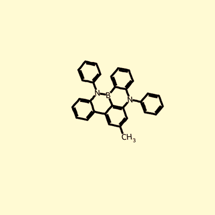 Cc1cc2c3c(c1)N(c1ccccc1)c1ccccc1B3N(c1ccccc1)c1ccccc1-2